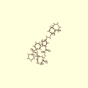 O=C(NC[C@@H](NC(=O)[C@@H]1CCCN1S(=O)(=O)c1ccccc1)C(=O)O)c1cnn(CCc2ccc3c(n2)NCCC3)c1